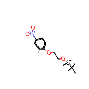 Cc1cc([N+](=O)[O-])ccc1OCCO[Si](C)(C)C(C)(C)C